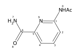 CC(=O)Nc1cccc(C(N)=O)n1